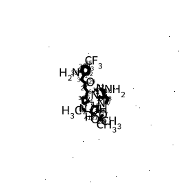 CN(C[C@H]1C[C@@H](n2ccc3c(N)ncnc32)[C@@H]2OC(C)(C)O[C@H]12)C1CC(CCC(=O)Cc2ccc(C(F)(F)F)cc2N)C1